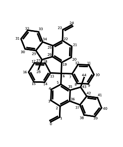 C=Cc1ccc(C(c2ccccc2)(c2ccccc2)c2ccc(C=C)c3c2C(C)c2ccccc2-3)c2c1-c1ccccc1C2C